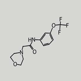 O=C(CN1CCOCC1)Nc1cccc(OC(F)(F)F)c1